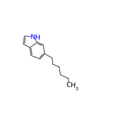 CCCCCCc1ccc2cc[nH]c2c1